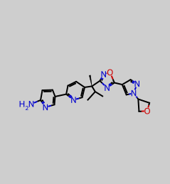 CC(C)[C@](C)(c1ccc(-c2ccc(N)nc2)nc1)c1noc(-c2cnn(C3COC3)c2)n1